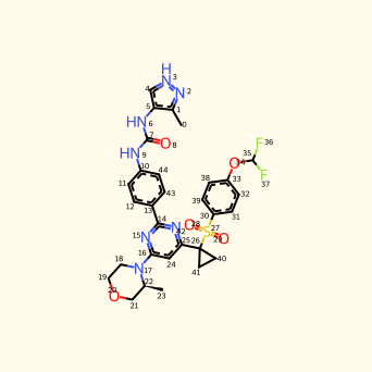 Cc1n[nH]cc1NC(=O)Nc1ccc(-c2nc(N3CCOC[C@@H]3C)cc(C3(S(=O)(=O)c4ccc(OC(F)F)cc4)CC3)n2)cc1